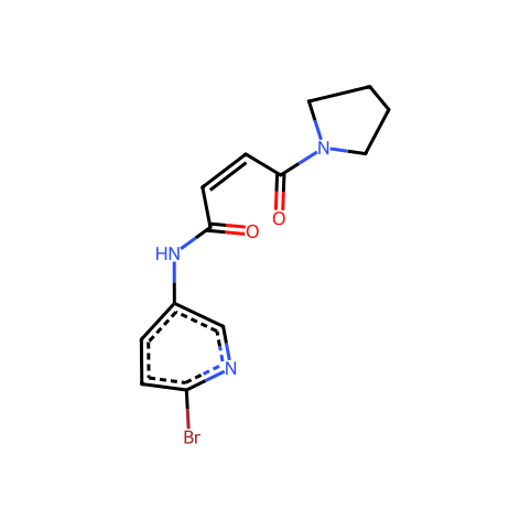 O=C(/C=C\C(=O)N1CCCC1)Nc1ccc(Br)nc1